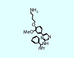 CCCC(Nc1cncc(-c2ccc(OCCCCN)c(OC)c2)n1)c1ccccc1